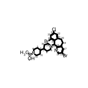 CB(O)N1CCC(C2CCN(C3c4ncc(Br)cc4CCc4cc(Cl)cc(Br)c43)CC2)CC1